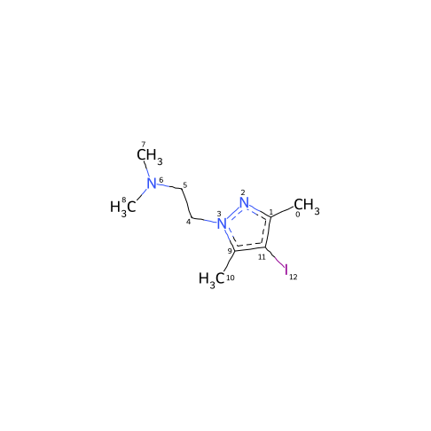 Cc1nn(CCN(C)C)c(C)c1I